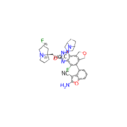 N#Cc1c(N)oc2cccc(-c3c4c(c5c(N6C7CCC6CN(C(=O)O)C7)nc(OC[C@@]67CCCN6C[C@H](F)C7)nc5c3F)COC4)c12